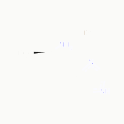 Br.Br.N[C@@H](Cc1c[nH]cn1)C(=O)O